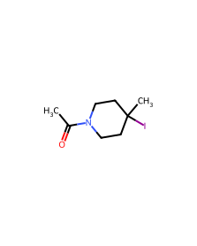 CC(=O)N1CCC(C)(I)CC1